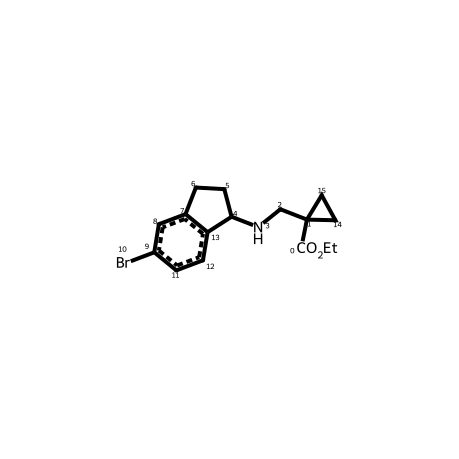 CCOC(=O)C1(CNC2CCc3cc(Br)ccc32)CC1